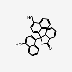 O=C1OC(c2ccc(O)c3ccccc23)(c2ccc(O)c3ccccc23)C2C=CC=CC12